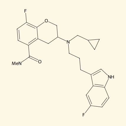 CNC(=O)c1ccc(F)c2c1CC(N(CCCc1c[nH]c3ccc(F)cc13)CC1CC1)CO2